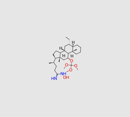 CC[C@H]1C[C@@H]2[C@H]([C@@H](OC(OC)(OC)OC)C[C@]3(C)[C@@H]([C@H](C)CCC(=N)NO)CC[C@@H]23)[C@@]2(C)CCCC[C@@H]12